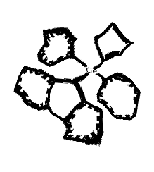 C1=CC[C]([Ge]([c]2ccccc2)([c]2ccccc2)[CH]2c3ccccc3-c3ccccc32)=C1